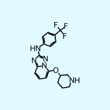 FC(F)(F)c1ccc(Nc2nc3cccc(O[C@@H]4CCCNC4)n3n2)cc1